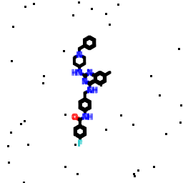 Cc1ccc2c(NCc3ccc(NC(=O)c4ccc(F)cc4)cc3)nc(NC3CCN(Cc4ccccc4)CC3)nc2c1